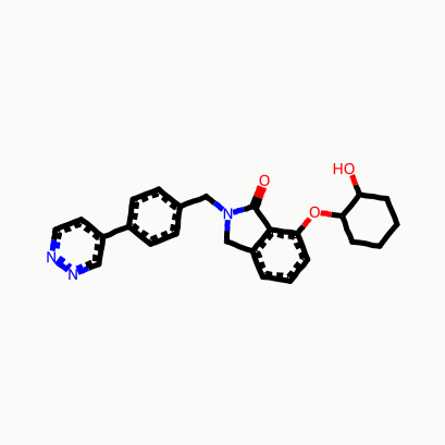 O=C1c2c(cccc2OC2CCCCC2O)CN1Cc1ccc(-c2ccnnc2)cc1